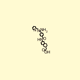 NC(=NCc1ccccn1)c1ccc(C(=O)Nc2ccc3c(c2)CCC(CC(=O)O)C3)cc1